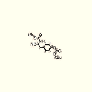 CC(C)(C)OC(=O)NC(C#N)Cc1ccc(OC(=O)OC(C)(C)C)cc1